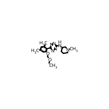 CCOCOc1cc(C)cc(C)c1-c1nnc(N[C@@H]2CCCN(C)C2)nn1